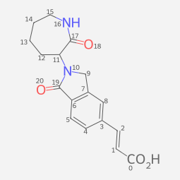 O=C(O)C=Cc1ccc2c(c1)CN(C1CCCCNC1=O)C2=O